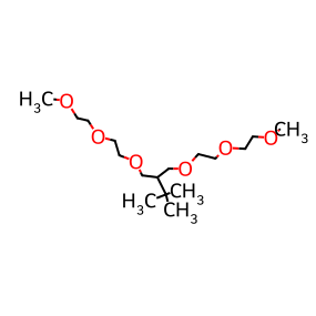 COCCOCCOCC(COCCOCCOC)C(C)(C)C